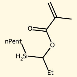 C=C(C)C(=O)OC(CC)[SiH2]CCCCC